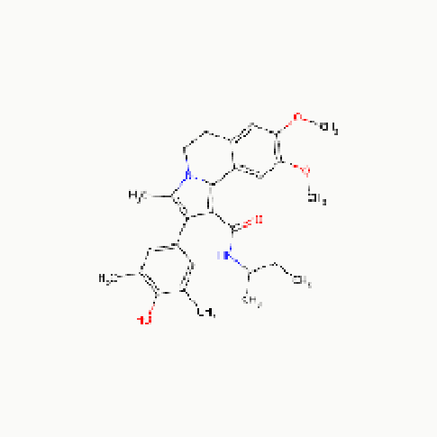 CCC(C)NC(=O)c1c(-c2cc(C)c(O)c(C)c2)c(C)n2c1-c1cc(OC)c(OC)cc1CC2